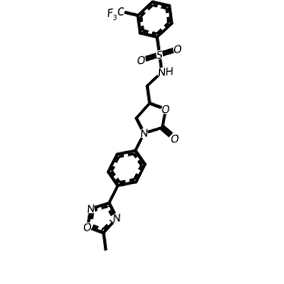 Cc1nc(-c2ccc(N3CC(CNS(=O)(=O)c4cccc(C(F)(F)F)c4)OC3=O)cc2)no1